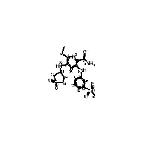 CCc1nc(C(N)=O)c(Nc2cccc(S(C)(=O)=O)c2)nc1NC1CCS(=O)(=O)C1